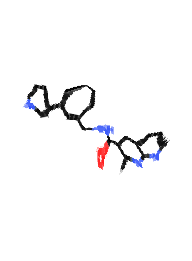 Cc1nc2ncccc2cc1C(=O)NCc1cccc(-c2cccnc2)c1